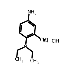 CCN(CC)c1ccc(N)cc1C.Cl.Cl